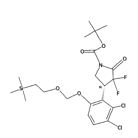 CC(C)(C)OC(=O)N1C[C@@H](c2c(OCOCC[Si](C)(C)C)ccc(Cl)c2Cl)C(F)(F)C1=O